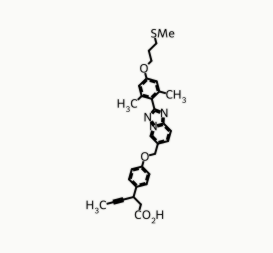 CC#CC(CC(=O)O)c1ccc(OCc2ccc3nc(-c4c(C)cc(OCCCSC)cc4C)nn3c2)cc1